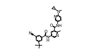 Cc1ncc(NC(=O)c2cc(C#N)cc(C(C)(C)C)c2)cc1C(=O)Nc1ccc(N(C)C2CC2)nc1